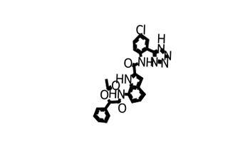 CC(=O)OC(C(=O)Nc1cccc2cc(C(=O)Nc3ccc(Cl)cc3-c3nnn[nH]3)[nH]c12)c1ccccc1